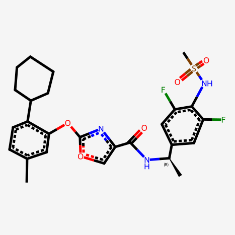 Cc1ccc(C2CCCCC2)c(Oc2nc(C(=O)N[C@H](C)c3cc(F)c(NS(C)(=O)=O)c(F)c3)co2)c1